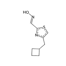 ON=Cc1nc(CC2CCC2)cs1